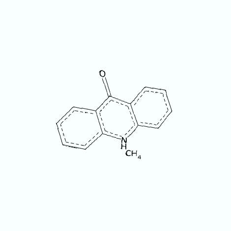 C.O=c1c2ccccc2[nH]c2ccccc12